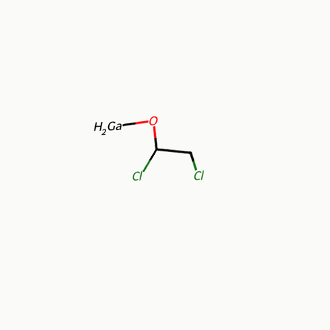 ClCC(Cl)[O][GaH2]